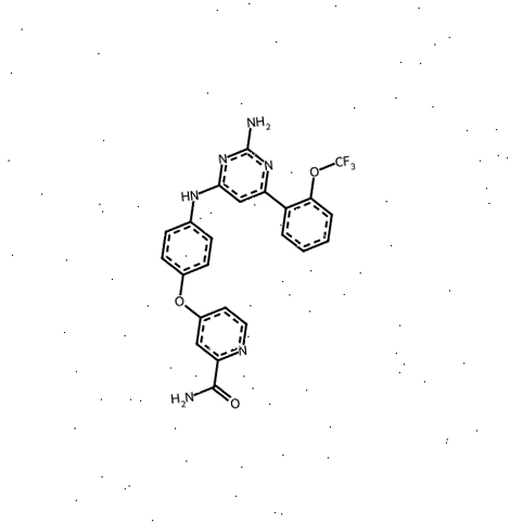 NC(=O)c1cc(Oc2ccc(Nc3cc(-c4ccccc4OC(F)(F)F)nc(N)n3)cc2)ccn1